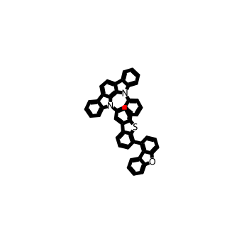 c1ccc(-n2c3ccccc3c3ccc4c5ccccc5n(-c5ccc6sc7c(-c8cccc9oc%10ccccc%10c89)cccc7c6c5)c4c32)cc1